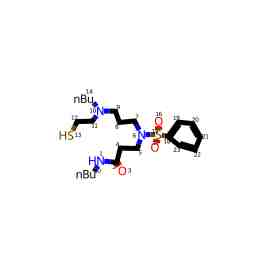 CCCCNC(=O)CCN(CCCN(CCS)CCCC)S(=O)(=O)c1ccccc1